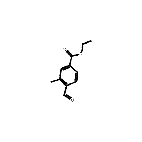 CCOC(=O)c1ccc(C=O)c(C)c1